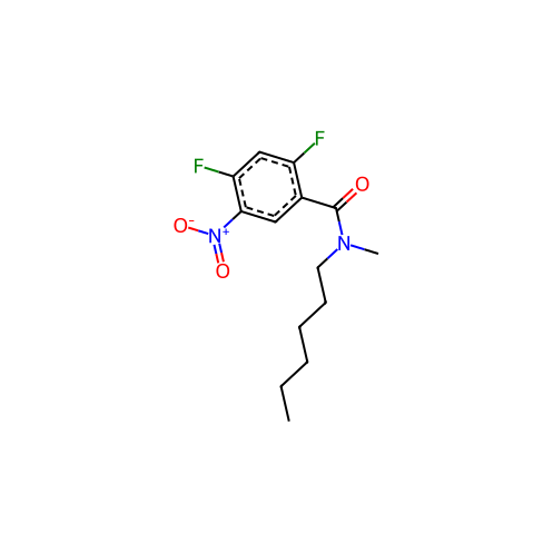 CCCCCCN(C)C(=O)c1cc([N+](=O)[O-])c(F)cc1F